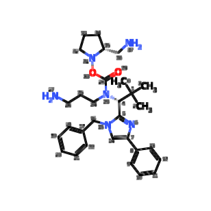 CC(C)(C)[C@H](c1nc(-c2ccccc2)cn1Cc1ccccc1)N(CCCN)C(=O)ON1CCC[C@@H]1CN